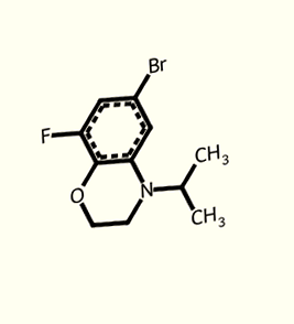 CC(C)N1CCOc2c(F)cc(Br)cc21